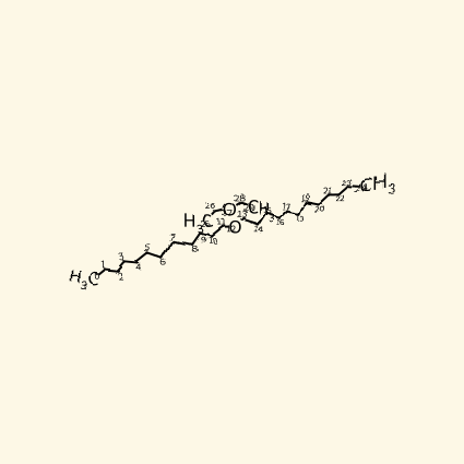 CCCCCCCCCCCCOCCCCCCCCCCCC.CCOCC